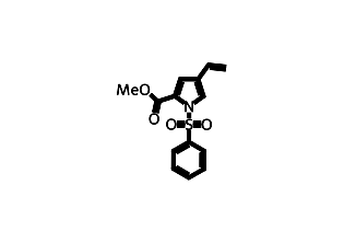 C=Cc1cc(C(=O)OC)n(S(=O)(=O)c2ccccc2)c1